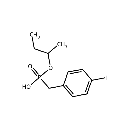 CCC(C)OP(=O)(O)Cc1ccc(I)cc1